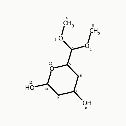 COC(OC)C1CC(O)CC(O)O1